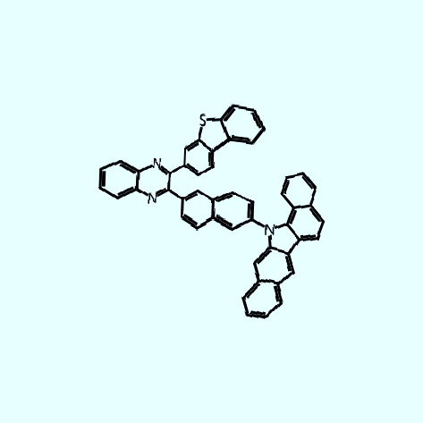 c1ccc2cc3c(cc2c1)c1ccc2ccccc2c1n3-c1ccc2cc(-c3nc4ccccc4nc3-c3ccc4c(c3)sc3ccccc34)ccc2c1